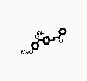 COc1ccc(C(OO)c2ccc(/C=C/C(=O)c3ccccc3)cc2)cc1